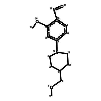 COCC1CCN(c2ccc(N=O)c(OC)c2)CC1